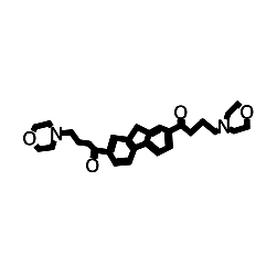 O=C(CCCN1CCOCC1)c1ccc2c(c1)Cc1cc(C(=O)CCCN3CCOCC3)ccc1-2